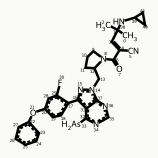 CC(C)(C=C(C#N)C(=O)N1CCCC1Cn1nc(-c2ccc(Oc3ccccc3)cc2F)c2c([AsH2])ncnc21)NC1CC1